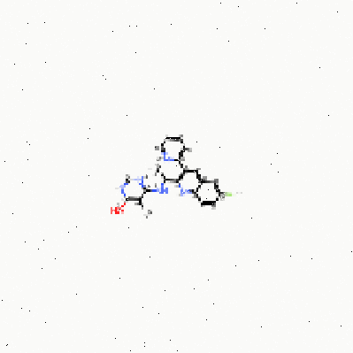 CC(Nc1ncnc(O)c1C#N)c1nc2ccc(F)cc2cc1-c1ccccn1